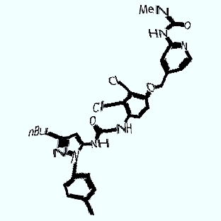 CCCCc1cc(NC(=O)Nc2ccc(OCc3ccnc(NC(=O)NC)c3)c(Cl)c2Cl)n(-c2ccc(C)cc2)n1